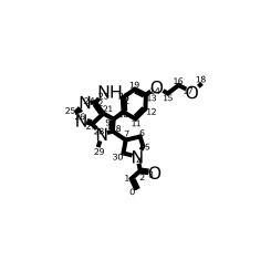 C=CC(=O)N1CCC(c2c(-c3ccc(OCCOC)cc3)c3c(N)ncnc3n2C)C1